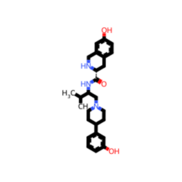 CC(C)C(CN1CCC(c2cccc(O)c2)CC1)NC(=O)[C@H]1Cc2ccc(O)cc2CN1